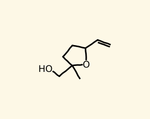 C=CC1CCC(C)(CO)O1